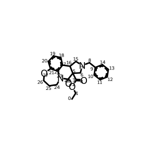 CCOC(=O)C12CN(Cc3ccccc3)CC1c1cccc3c1N(CCCO3)C2=O